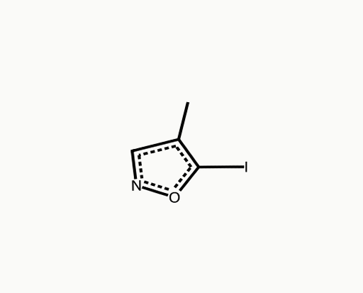 Cc1cnoc1I